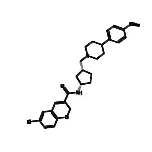 COc1ccc(C2CCN(C[C@@H]3CC[C@H](NC(=O)C4=Cc5cc(Cl)ccc5OC4)C3)CC2)cc1